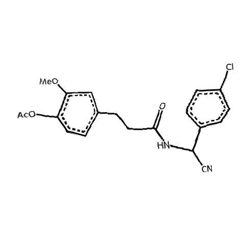 COc1cc(CCC(=O)NC(C#N)c2ccc(Cl)cc2)ccc1OC(C)=O